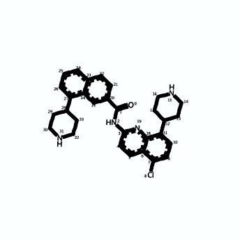 O=C(Nc1ccc2c(Cl)ccc(C3CCNCC3)c2n1)c1ccc2cccc(C3CCNCC3)c2c1